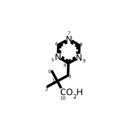 CC(C)(Cc1ncncn1)C(=O)O